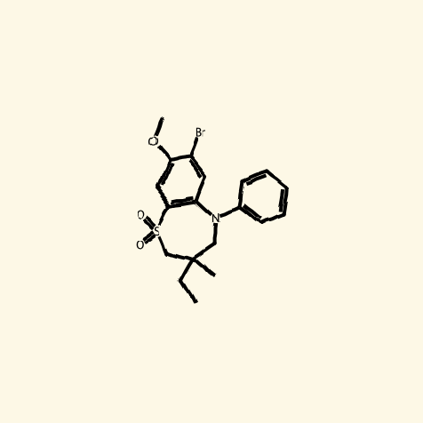 CCC1(C)CN(c2ccccc2)c2cc(Br)c(OC)cc2S(=O)(=O)C1